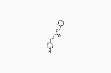 O=C(CCCC1CCNCC1)OCc1ccccc1